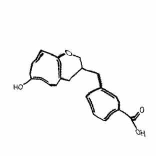 O=C(O)c1cccc(CC2COc3ccc(O)cc3C2)c1